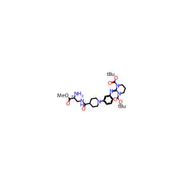 COC(=O)[C@@H](N)CNC(=O)C1CCN(c2cccc(N=C3N(C(=O)OC(C)(C)C)CCCN3C(=O)OC(C)(C)C)c2)CC1